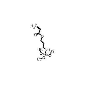 C=CC(=O)OCCC[SiH2][Si](OCC)(OCC)OCC